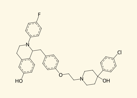 Oc1ccc2c(c1)CCN(c1ccc(F)cc1)C2Cc1ccc(OCCN2CCC(O)(c3ccc(Cl)cc3)CC2)cc1